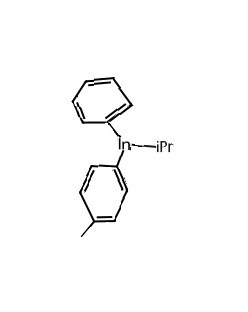 Cc1cc[c]([In]([c]2ccccc2)[CH](C)C)cc1